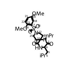 CCCN1C(=O)C(CC(C)C)NC(=O)C12CCN(S(=O)(=O)c1cc(OC)ccc1OC)CC2